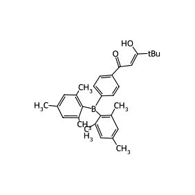 Cc1cc(C)c(B(c2ccc(C(=O)/C=C(\O)C(C)(C)C)cc2)c2c(C)cc(C)cc2C)c(C)c1